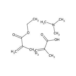 C=C(C)C(=O)O.C=C(C)C(=O)OCC.CN(C)C